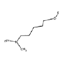 CCCN(C)CCCCCOF